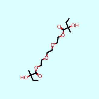 CCC(C)(O)C(=O)OCCOCCOCCOC(=O)C(C)(O)CC